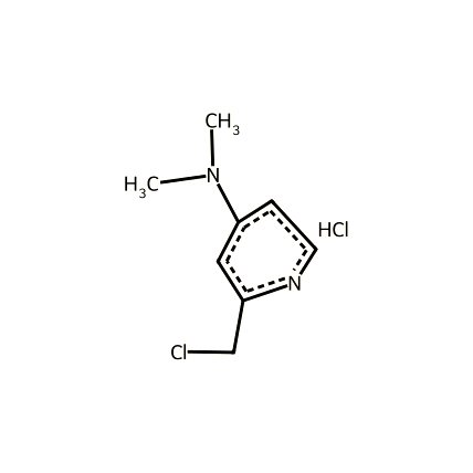 CN(C)c1ccnc(CCl)c1.Cl